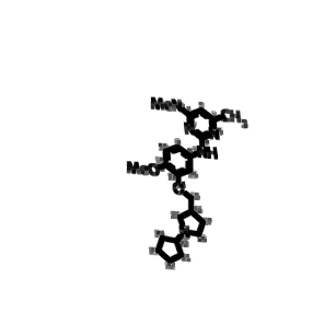 CNc1cc(C)nc(Nc2ccc(OC)c(OCC3CCN(C4CCCC4)C3)c2)n1